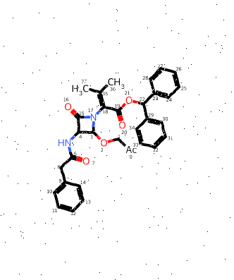 CC(=O)COC1C(NC(=O)Cc2ccccc2)C(=O)N1C(C(=O)OC(c1ccccc1)c1ccccc1)=C(C)C